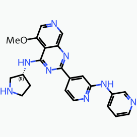 COc1cncc2nc(-c3ccnc(Nc4cccnc4)c3)nc(N[C@@H]3CCNC3)c12